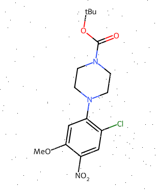 COc1cc(N2CCN(C(=O)OC(C)(C)C)CC2)c(Cl)cc1[N+](=O)[O-]